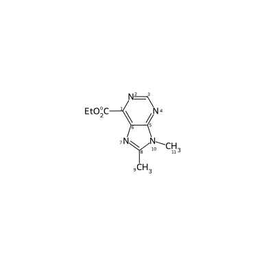 CCOC(=O)c1ncnc2c1nc(C)n2C